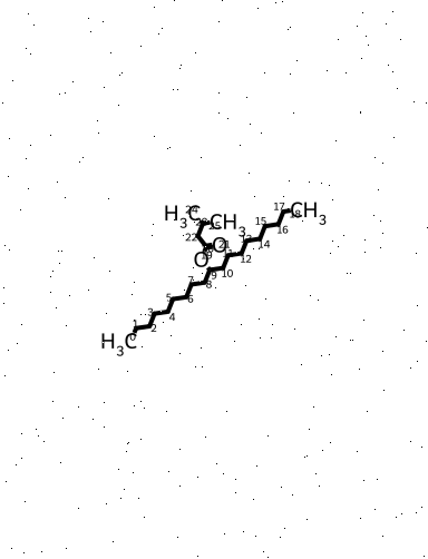 CCCCCCCCCC(CCCCCCCCC)OC(=O)CC(C)C